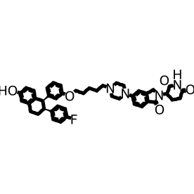 O=C1CCC(N2Cc3cc(N4CCN(CCCCCOc5cccc([C@@H]6c7ccc(O)cc7CC[C@@H]6c6ccc(F)cc6)c5)CC4)ccc3C2=O)C(=O)N1